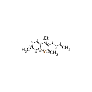 C=CCCC1=C(CC)C2=CC[C@H](C)C=C2SC1=C